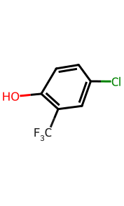 Oc1ccc(Cl)cc1C(F)(F)F